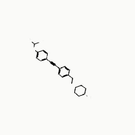 C[C@H]1CC[C@H](CCc2ccc(C#Cc3ccc(OC(F)F)cc3)cc2)CC1